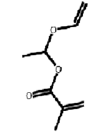 C=COC(C)OC(=O)C(=C)C